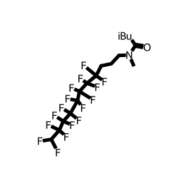 CCC(C)C(=O)N(C)CCCC(F)(F)C(F)(F)C(F)(F)C(F)(F)C(F)(F)C(F)(F)C(F)(F)C(F)F